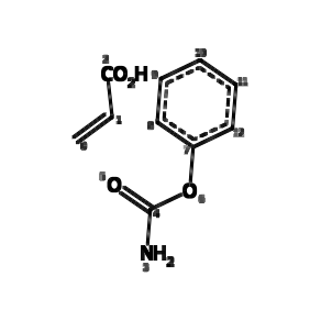 C=CC(=O)O.NC(=O)Oc1ccccc1